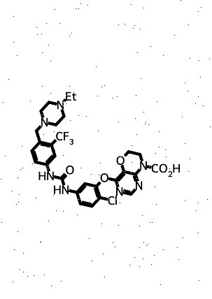 CCN1CCN(Cc2ccc(NC(=O)Nc3ccc(Cl)c(Oc4ncnc5c4OCCN5C(=O)O)c3)cc2C(F)(F)F)CC1